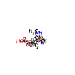 CNCc1cc(-c2cccc(C(C)OC(=O)/C=C/C(=O)O)c2F)n(S(=O)(=O)c2cccnc2)c1